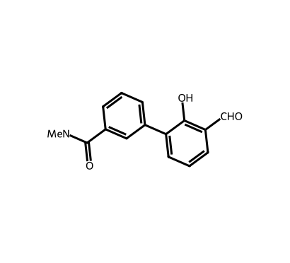 CNC(=O)c1cccc(-c2cccc(C=O)c2O)c1